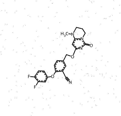 CN1CCCn2c1cc(OCc1ccc(Oc3ccc(F)c(F)c3)c(C#N)c1)nc2=O